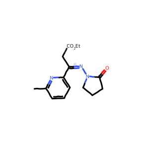 CCOC(=O)C/C(=N/N1CCCC1=O)c1cccc(C)n1